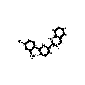 COc1cc(F)ccc1-c1cccc(-c2ncc3ccccc3n2)n1